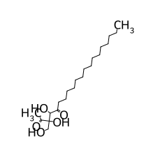 CCCCCCCCCCCCCCCC(=O)C(O)C(O)(CO)C(C)=O